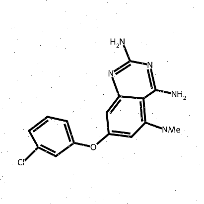 CNc1cc(Oc2cccc(Cl)c2)cc2nc(N)nc(N)c12